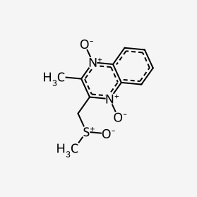 Cc1c(C[S+](C)[O-])[n+]([O-])c2ccccc2[n+]1[O-]